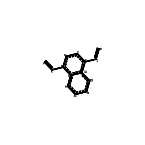 C=Cc1ccc(C=C)c2ccccc12